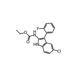 CCOC(=O)Nc1[nH]c2ccc(Cl)cc2c1-c1ccccc1F